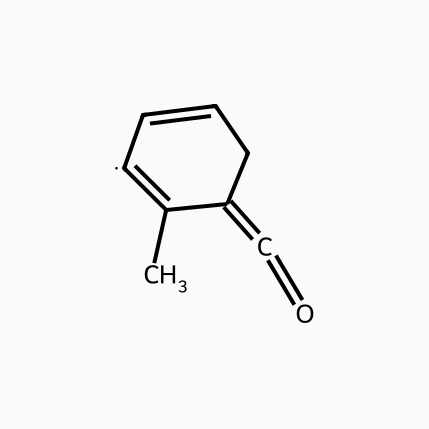 CC1=[C]C=CCC1=C=O